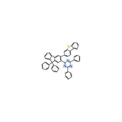 c1ccc(-c2nc(-c3ccccc3)nc(-c3cc4c(cc3-c3ccc5c(c3)sc3ccccc35)-c3ccccc3C4(c3ccccc3)c3ccccc3)n2)cc1